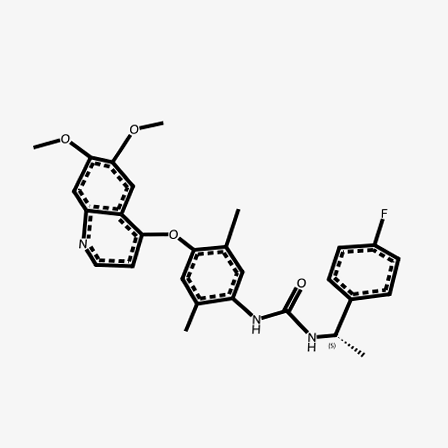 COc1cc2nccc(Oc3cc(C)c(NC(=O)N[C@@H](C)c4ccc(F)cc4)cc3C)c2cc1OC